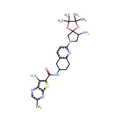 Cc1cnc2c(N)c(C(=O)NC3CCc4nc(N5CC(N)C6(C5)OC(C)(C)C(C)(C)O6)ccc4C3)sc2n1